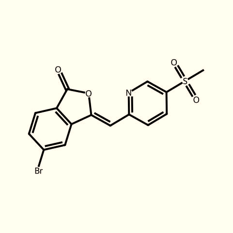 CS(=O)(=O)c1ccc(/C=C2\OC(=O)c3ccc(Br)cc32)nc1